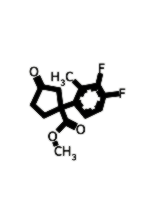 COC(=O)C1(c2ccc(F)c(F)c2C)CCC(=O)C1